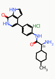 CC1CCC([C@H](N)C(=O)Nc2ccc(-c3c[nH]c(=O)c4[nH]ccc34)cc2)CC1.Cl